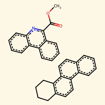 COC(=O)c1nc2ccccc2c2ccccc12.c1ccc2c(c1)ccc1c3c(ccc12)CCCC3